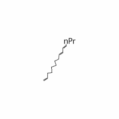 C=CCCCCCCC=CC=CCCC